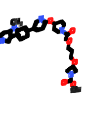 Cn1c2ccncc2c2ccc(-c3ccc(OC4CCN(C(=O)COCCCOC5CN(C(=O)OC(C)(C)C)C5)CC4)nc3)cc21